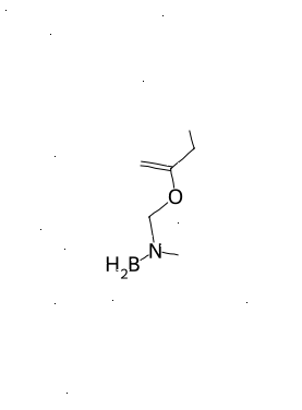 BN(C)COC(=C)CC